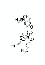 CN(C)c1ccc(O[C@H]2CC[C@H](N(c3cc(C#CC(C)(C)C)sc3C(=O)O)C(=O)[C@H]3CC[C@H](C)CC3)CC2)nn1